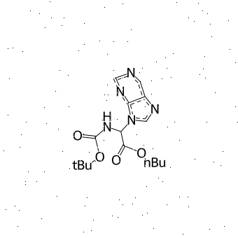 CCCCOC(=O)C(NC(=O)OC(C)(C)C)n1cnc2cncnc21